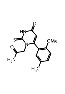 COc1ccc(C)cc1-c1cc(=O)[nH]c(=S)n1CC(N)=O